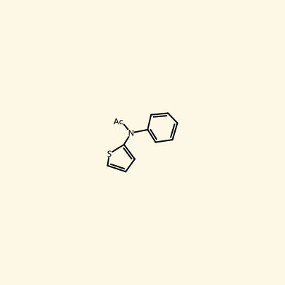 CC(=O)N(c1ccccc1)c1cccs1